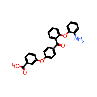 Nc1ccccc1Oc1ccccc1C(=O)c1ccc(Oc2cccc(C(=O)O)c2)cc1